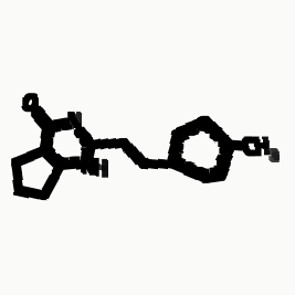 Cc1ccc(CCc2nc(=O)c3c([nH]2)CCC3)cc1